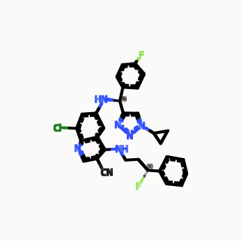 N#Cc1cnc2c(Cl)cc(N[C@@H](c3ccc(F)cc3)c3cn(C4CC4)nn3)cc2c1NCC[C@@H](F)c1ccccc1